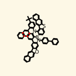 CC(C)(C)c1ccc(N2c3cc(-c4ccccc4)cc4c3B(c3ccc5sc6cc7ccccc7cc6c5c32)N(c2ccc(-c3ccccc3)cc2)c2cc3oc5cc6ccccc6cc5c3cc2-4)c(-c2ccccc2)c1